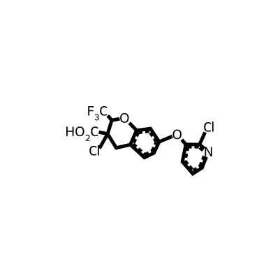 O=C(O)C1(Cl)Cc2ccc(Oc3cccnc3Cl)cc2OC1C(F)(F)F